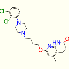 Cc1cc(OCCCCN2CCN(c3cccc(Cl)c3Cl)CC2)nc2c1CCC(=O)N2